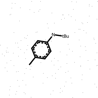 Cc1ccc([N]C(C)(C)C)cc1